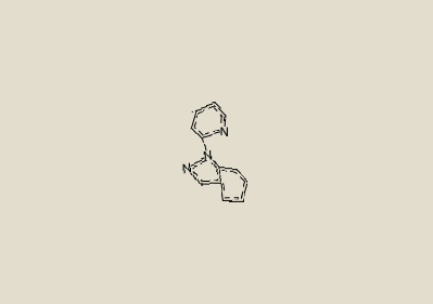 [c]1ccnc(-n2ncc3ccccc32)c1